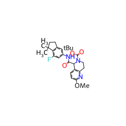 COc1ccc2c(n1)CCN(C(=O)OC(C)(C)C)C2C(=O)Nc1cc(F)c2c(c1)CCC2(C)C